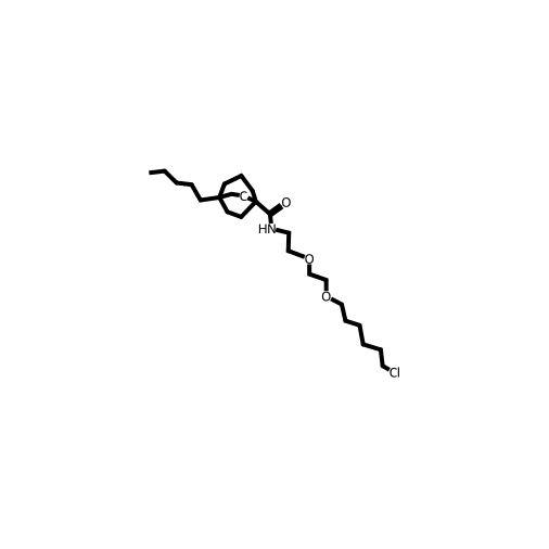 CCCCCC12CCCC(C(=O)NCCOCCOCCCCCCCl)(CC1)CC2